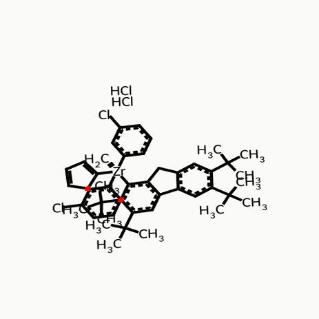 Cl.Cl.[CH2]=[Zr]([C]1=CC=CC1)([c]1cccc(Cl)c1)([c]1cccc(Cl)c1)[c]1c2c(cc(C(C)(C)C)c1C(C)(C)C)-c1cc(C(C)(C)C)c(C(C)(C)C)cc1C2